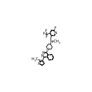 CN(Cc1cnc(F)cc1C(F)(F)F)C1CCN(c2nnc(-c3ccnn3C)c3ccccc23)CC1